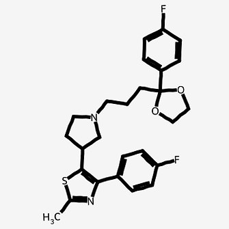 Cc1nc(-c2ccc(F)cc2)c(C2CCN(CCCC3(c4ccc(F)cc4)OCCO3)C2)s1